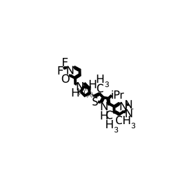 Cc1c(-c2[nH]c3sc([C@@H]4C[C@@H]5C[C@H]4CN5Cc4cccn(C(F)F)c4=O)c(C)c3c2C(C)C)cn2ncnc2c1C